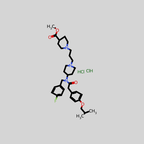 COC(=O)C1CCN(CCCN2CCC(N(Cc3ccc(F)cc3)C(=O)Cc3ccc(OCC(C)C)cc3)CC2)CC1.Cl.Cl